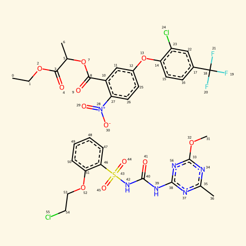 CCOC(=O)C(C)OC(=O)c1cc(Oc2ccc(C(F)(F)F)cc2Cl)ccc1[N+](=O)[O-].COc1nc(C)nc(NC(=O)NS(=O)(=O)c2ccccc2OCCCl)n1